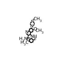 CCN1CCN(c2cc3ncc(C(N)=O)c(Nc4cc(C)ccc4F)c3cc2OC)CC1